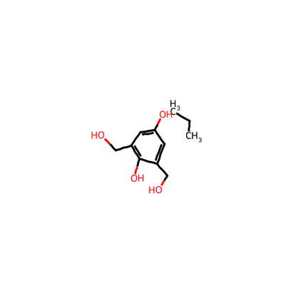 CCC.OCc1cc(O)cc(CO)c1O